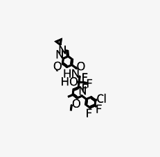 CCOc1c(C)cc(C(O)(CNC(=O)c2cc(OC)c3nn(C4CC4)cc3c2)C(F)(F)F)nc1-c1cc(F)c(F)c(Cl)c1